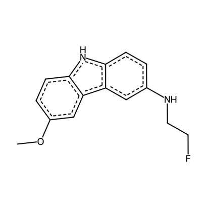 COc1ccc2[nH]c3ccc(NCCF)cc3c2c1